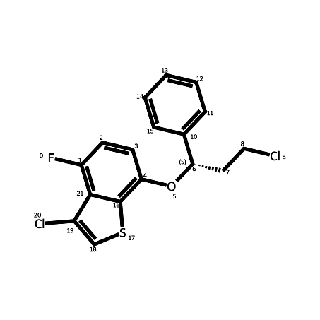 Fc1ccc(O[C@@H](CCCl)c2ccccc2)c2scc(Cl)c12